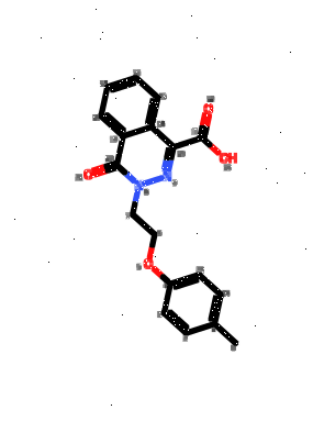 Cc1ccc(OCCn2nc(C(=O)O)c3ccccc3c2=O)cc1